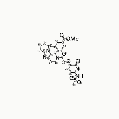 COC(=O)c1ccc(C2c3c(nc4n3CCCC4)CCN2C(=O)COc2ccc(NS(C)(=O)=O)nc2Cl)c(F)c1